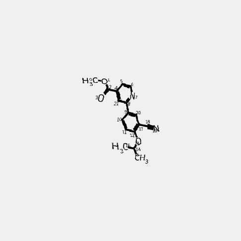 COC(=O)c1ccnc(-c2ccc(OC(C)C)c(C#N)c2)c1